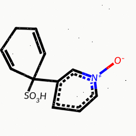 O=S(=O)(O)C1(c2ccc[n+]([O-])c2)C=CCC=C1